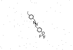 CCc1ccc(C=NN=Cc2ccc(OC(F)F)cc2)cc1